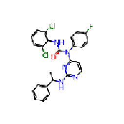 CC(Nc1nccc(N(C(=O)Nc2c(Cl)cccc2Cl)c2ccc(F)cc2)n1)c1ccccc1